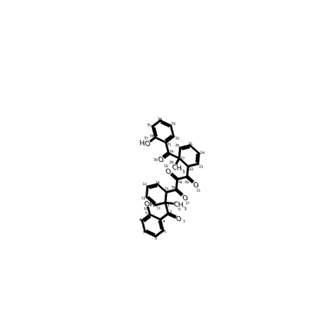 CC1(C(=O)c2ccccc2O)C=CC=CC1C(=O)C(=O)C(=O)C1C=CC=CC1(C)C(=O)c1ccccc1O